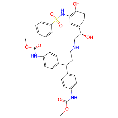 COC(=O)Nc1ccc(C(CCNC[C@H](O)c2ccc(O)c(NS(=O)(=O)c3ccccc3)c2)c2ccc(NC(=O)OC)cc2)cc1